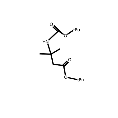 CC(C)(CC(=O)OC(C)(C)C)NC(=O)OC(C)(C)C